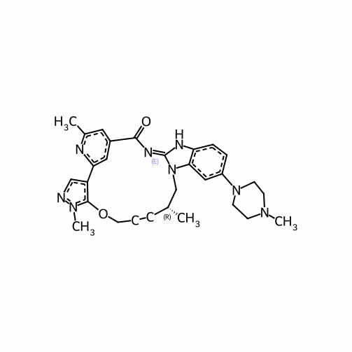 Cc1cc2cc(n1)-c1cnn(C)c1OCCC[C@@H](C)CN1/C(=N/C2=O)Nc2ccc(N3CCN(C)CC3)cc21